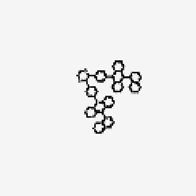 c1ccc2c(-c3c4ccccc4c(-c4ccc(-c5nccnc5-c5ccc(-c6c7ccccc7c(-c7cccc8ccccc78)c7ccccc67)cc5)cc4)c4ccccc34)cccc2c1